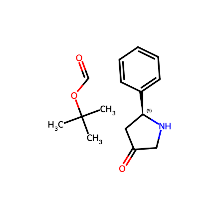 CC(C)(C)OC=O.O=C1CN[C@H](c2ccccc2)C1